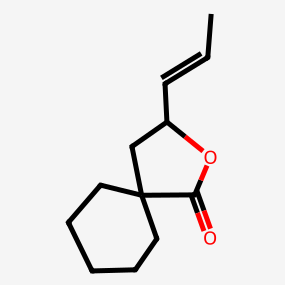 C/C=C/C1CC2(CCCCC2)C(=O)O1